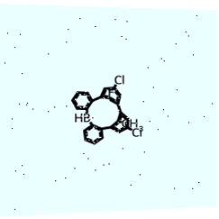 Cc1c2cc(Cl)cc1-c1cc(Cl)cc(c1F)-c1ccccc1Bc1ccccc1-2